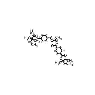 CCC(C)(CC)OC(=O)C1CCC(C(=O)OC(C)OCC2CCC(COC(C)C(C)(C)CC)CC2)CC1